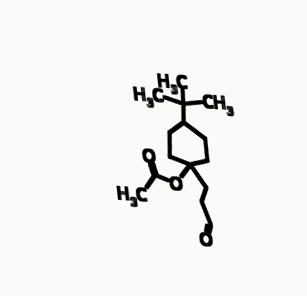 CC(=O)OC1(CCC=O)CCC(C(C)(C)C)CC1